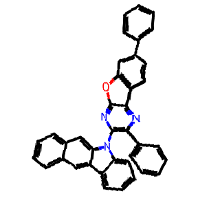 c1ccc(-c2ccc3c(c2)oc2nc(-n4c5ccccc5c5cc6ccccc6cc54)c(-c4ccccc4)nc23)cc1